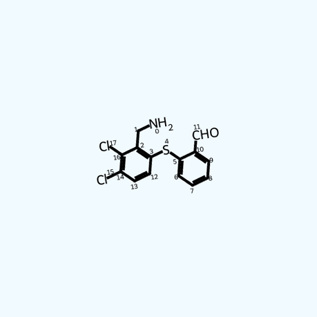 NCc1c(Sc2ccccc2C=O)ccc(Cl)c1Cl